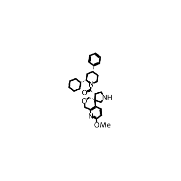 COc1ccc2c(n1)COC[C@]21CNC[C@H]1C(=O)N1CC[C@@H](c2ccccc2)C[C@H]1C1CCCCC1